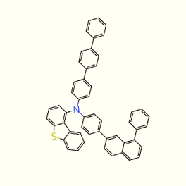 c1ccc(-c2ccc(-c3ccc(N(c4ccc(-c5ccc6cccc(-c7ccccc7)c6c5)cc4)c4cccc5sc6ccccc6c45)cc3)cc2)cc1